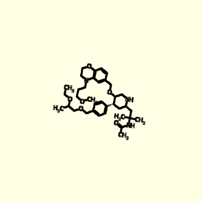 CCOC(C)COCc1ccc([C@H]2C[C@H](CC(C)(C)NC(C)=O)NC[C@@H]2OCc2ccc3c(c2)N(CCCOC)CCO3)cc1